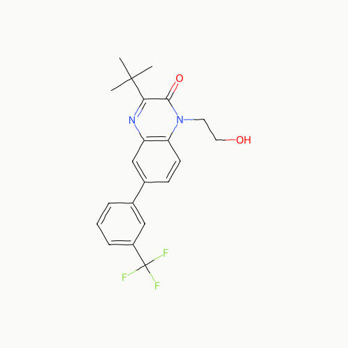 CC(C)(C)c1nc2cc(-c3cccc(C(F)(F)F)c3)ccc2n(CCO)c1=O